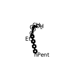 C=C(CO)C(=O)OCCOc1ccc(C2C=CC(C3CCC(C4CCC(CCCCC)CC4)CC3)=CC2)c(CC)c1